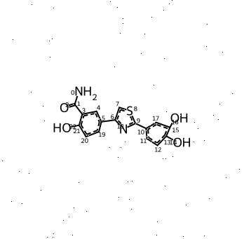 NC(=O)c1cc(-c2csc(-c3ccc(O)c(O)c3)n2)ccc1O